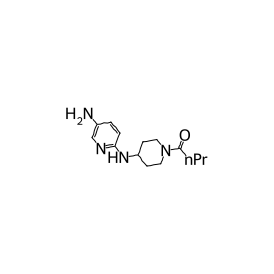 CCCC(=O)N1CCC(Nc2ccc(N)cn2)CC1